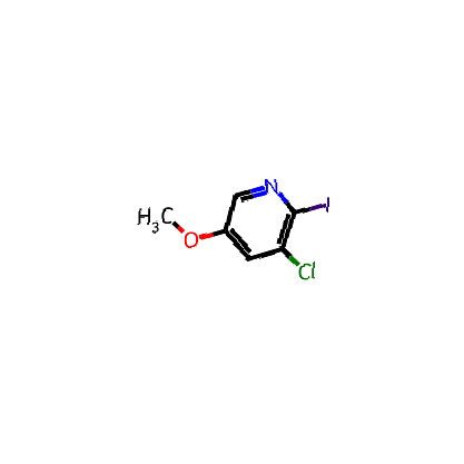 COc1cnc(I)c(Cl)c1